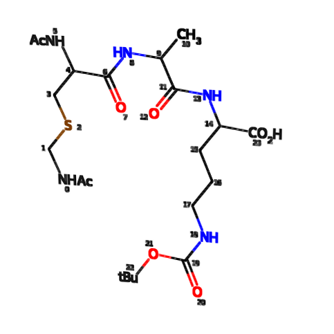 CC(=O)NCSCC(NC(C)=O)C(=O)NC(C)C(=O)NC(CCCNC(=O)OC(C)(C)C)C(=O)O